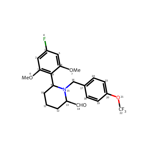 COc1cc(F)cc(OC)c1C1CCCC(C=O)N1Cc1ccc(OC(F)(F)F)cc1